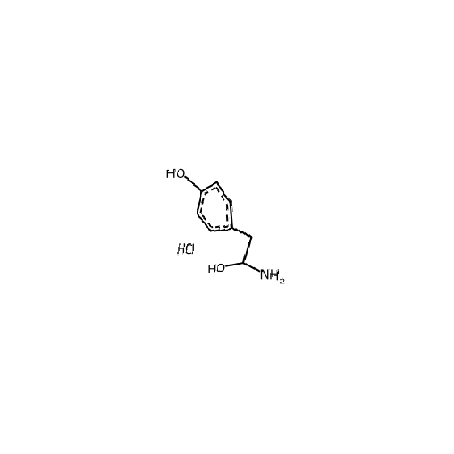 Cl.NC(O)Cc1ccc(O)cc1